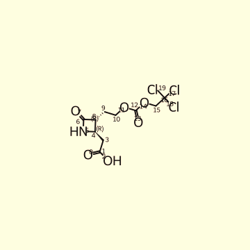 O=C(O)C[C@H]1NC(=O)[C@@H]1CCOC(=O)OCC(Cl)(Cl)Cl